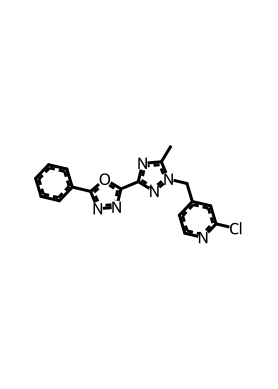 Cc1nc(-c2nnc(-c3ccccc3)o2)nn1Cc1ccnc(Cl)c1